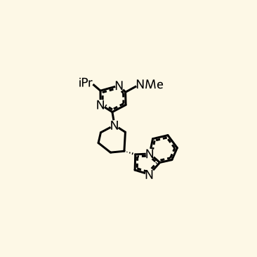 CNc1cc(N2CCC[C@@H](c3cnc4ccccn34)C2)nc(C(C)C)n1